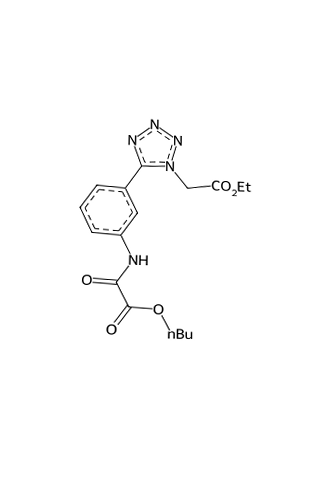 CCCCOC(=O)C(=O)Nc1cccc(-c2nnnn2CC(=O)OCC)c1